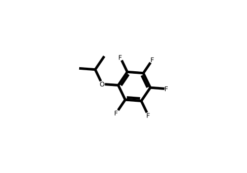 CC(C)Oc1c(F)c(F)c(F)c(F)c1F